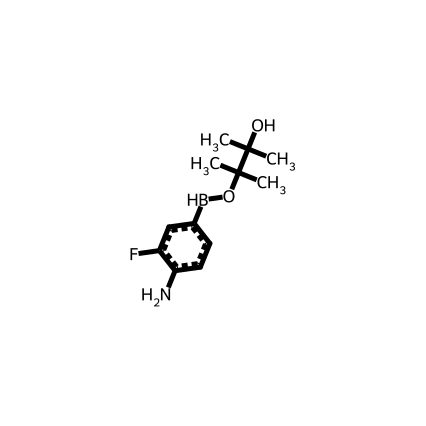 CC(C)(O)C(C)(C)OBc1ccc(N)c(F)c1